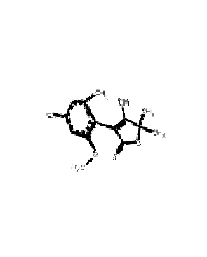 COc1cc(Cl)cc(C)c1C1=C(O)C(C)(C)OC1=O